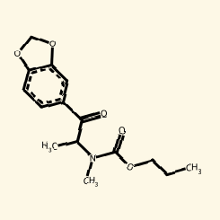 CCCOC(=O)N(C)C(C)C(=O)c1ccc2c(c1)OCO2